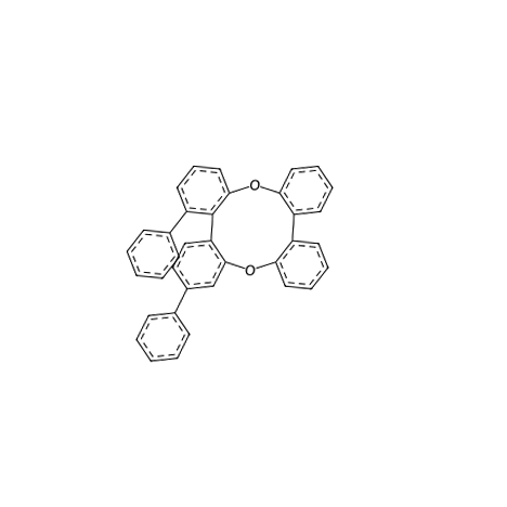 c1ccc(-c2ccc3c(c2)Oc2ccccc2-c2ccccc2Oc2cccc(-c4ccccc4)c2-3)cc1